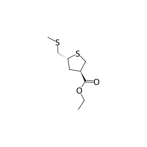 CCOC(=O)[C@@H]1CS[C@@H](CSC)C1